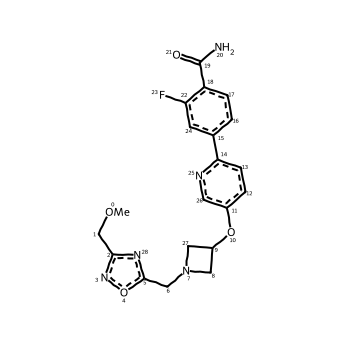 COCc1noc(CN2CC(Oc3ccc(-c4ccc(C(N)=O)c(F)c4)nc3)C2)n1